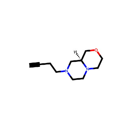 C#CCCN1CCN2CCOC[C@@H]2C1